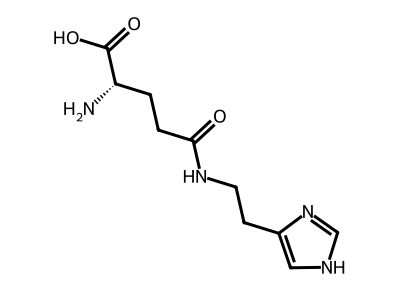 N[C@@H](CCC(=O)NCCc1c[nH]cn1)C(=O)O